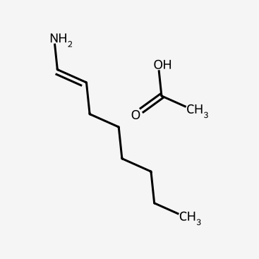 CC(=O)O.CCCCCCC=CN